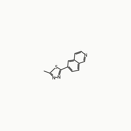 Cc1nnc(-c2ccc3cnccc3c2)s1